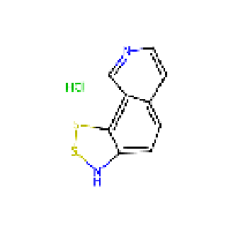 Cl.c1cc2ccc3c(c2cn1)SSN3